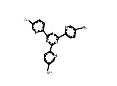 CCC(C)c1ccc(-c2nc(-c3ccc(C(C)CC)cn3)nc(-c3ccc(C(C)CC)cn3)n2)nc1